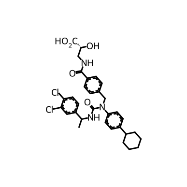 CC(NC(=O)N(Cc1ccc(C(=O)NC[C@@H](O)C(=O)O)cc1)c1ccc(C2CCCCC2)cc1)c1ccc(Cl)c(Cl)c1